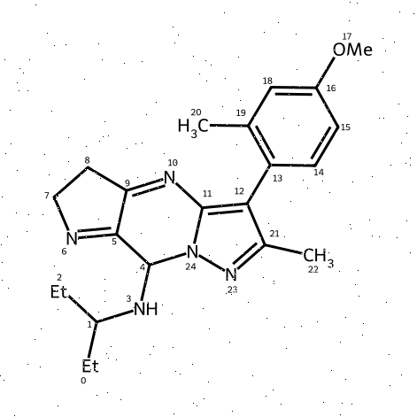 CCC(CC)NC1C2=NCCC2=Nc2c(-c3ccc(OC)cc3C)c(C)nn21